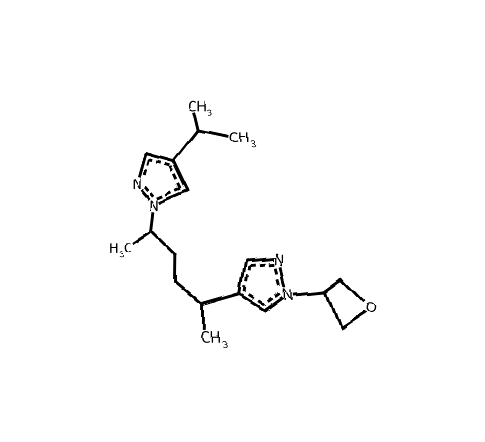 CC(C)c1cnn(C(C)CCC(C)c2cnn(C3COC3)c2)c1